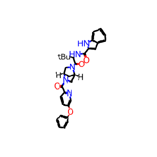 CC(C)(C)C(NC(=O)c1cc2ccccc2[nH]1)C(=O)N1C[C@@H]2C[C@H]1CN2C(=O)c1ccc(Oc2ccccc2)cn1